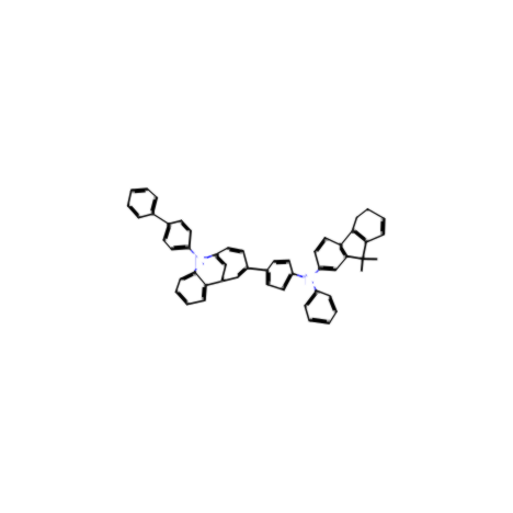 C[C@@H]1C=CC2=C(C1)c1ccc(N(c3ccccc3)c3ccc(C4=CC5C=C(C=C4)N(c4ccc(-c6ccccc6)cc4)c4ccccc45)cc3)cc1C2(C)C